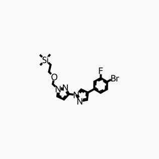 C[Si](C)(C)CCOCn1ccc(-n2cc(-c3ccc(Br)c(F)c3)cn2)n1